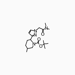 CC1CCC(c2ccn(CC(=O)N(C)C)n2)N(C(=O)OC(C)(C)C)C1